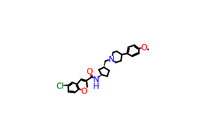 COc1ccc(C2CCN(C[C@H]3CC[C@@H](NC(=O)C4=Cc5cc(Cl)ccc5OC4)C3)CC2)cc1